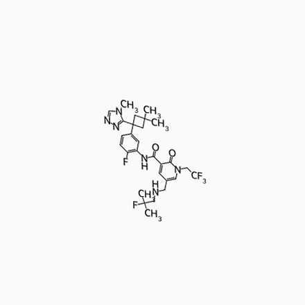 Cn1cnnc1C1(c2ccc(F)c(NC(=O)c3cc(CNCC(C)(C)F)cn(CC(F)(F)F)c3=O)c2)CC(C)(C)C1